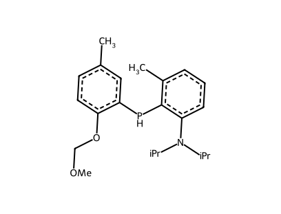 COCOc1ccc(C)cc1Pc1c(C)cccc1N(C(C)C)C(C)C